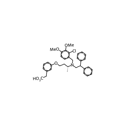 COc1ccc(CN(CC(c2ccccc2)c2ccccc2)[C@H](C)CCOc2cccc(CC(=O)O)c2)c(Cl)c1OC